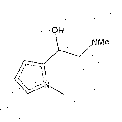 CNCC(O)c1cccn1C